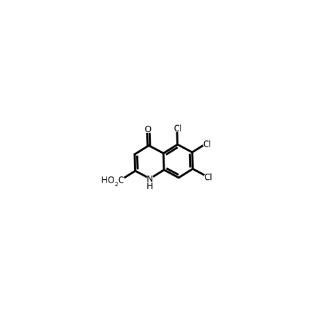 O=C(O)c1cc(=O)c2c(Cl)c(Cl)c(Cl)cc2[nH]1